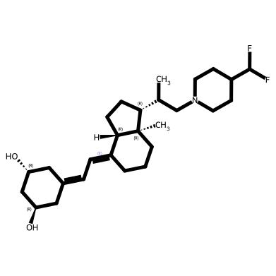 CC(CN1CCC(C(F)F)CC1)[C@H]1CC[C@H]2/C(=C/C=C3C[C@@H](O)C[C@H](O)C3)CCC[C@]12C